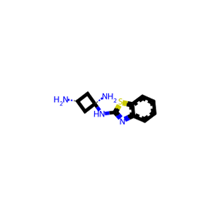 N[C@H]1C[C@](N)(Nc2nc3ccccc3s2)C1